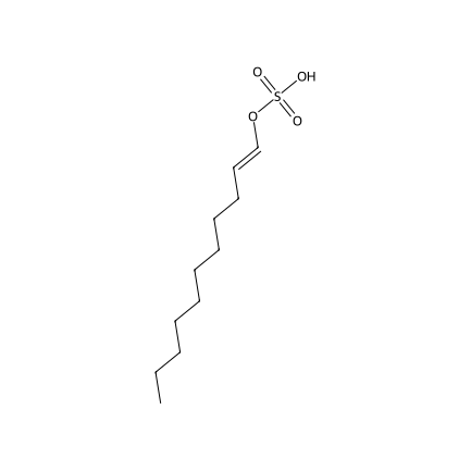 CCCCCCCCCC=COS(=O)(=O)O